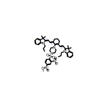 CCCN1/C(=C\C=C2/CCCC(/C=C/C3=[N+](CCC)c4ccccc4C3(C)C)=C2N2CCN(S(=O)(=O)c3ccc([N+](=O)[O-])cc3[N+](=O)[O-])CC2)C(C)(C)c2ccccc21.[I-]